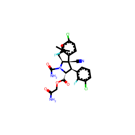 CC(C)(C)C[C@@H]1N(C(N)=O)[C@@H](C(=O)OCC(N)=O)[C@H](c2cccc(Cl)c2F)[C@@]1(C#N)c1ccc(Cl)cc1F